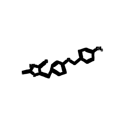 Cc1ccc(COc2ccc(C=C3SC(=S)NC3=O)cc2)cc1